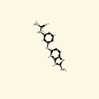 Nc1nc2ccc(Oc3cccc(NC(=O)O)c3)nc2s1